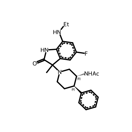 CCNc1cc(F)cc2c1NC(=O)C2(C)N1CC[C@H](c2ccccc2)[C@@H](NC(C)=O)C1